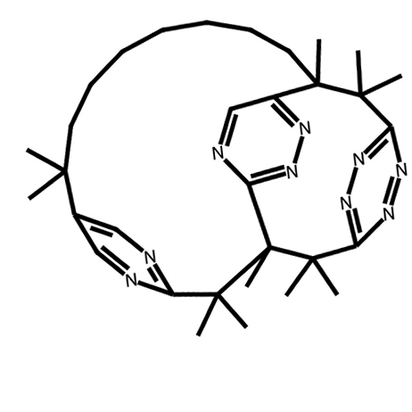 CC1(C)CCCCCCCC2(C)c3cnc(nn3)C(C)(C(C)(C)c3ncc1cn3)C(C)(C)c1nnc(nn1)C2(C)C